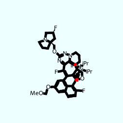 COCOc1cc(C2=C(F)C3=NC(OC[C@@]45CCCN4C[C@H](F)C5)=NN4CCCC(=C34)[C@@H]3CON=C23)c2c(C#C[Si](C(C)C)(C(C)C)C(C)C)c(F)ccc2c1